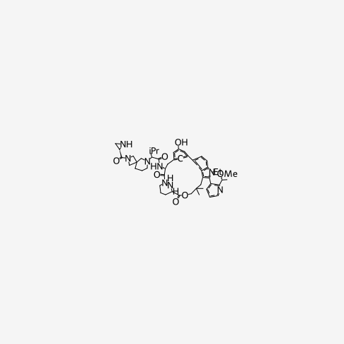 CCn1c(-c2cccnc2[C@H](C)OC)c2c3cc(ccc31)-c1cc(O)cc(c1)C[C@H](NC(=O)C(C(C)C)N1CCCC3(CN(C(=O)[C@H]4CN4)C3)C1)C(=O)N1CCC[C@H](N1)C(=O)OCC(C)(C)C2